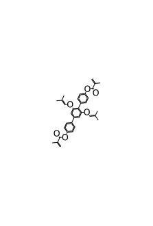 C=C(C)C(=O)Oc1ccc(-c2cc(OC=C(C)C)c(-c3ccc(OC(=O)C(=C)C)cc3)c(OC=C(C)C)c2)cc1